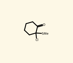 CSC1(Cl)CCCCC1=O